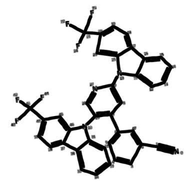 N#Cc1cccc(-c2cc(-n3c4ccccc4c4ccc(C(F)(F)F)cc43)ncc2-n2c3ccccc3c3ccc(C(F)(F)F)cc32)c1